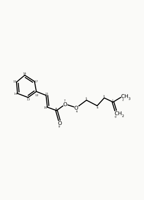 C=C(C)CCCOOC(=O)C=Cc1ccccc1